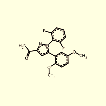 COc1ccc(OC)c(-c2cc(C(N)=O)nn2-c2c(F)cccc2F)c1